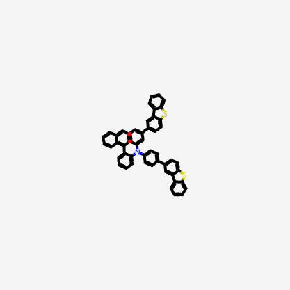 c1cc2ccccc2c(-c2ccccc2N(C2=CC(c3ccc4sc5ccccc5c4c3)=CCC2)c2ccc(-c3ccc4sc5ccccc5c4c3)cc2)c#1